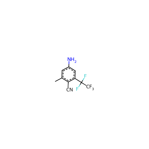 Cc1cc(N)cc(C(F)(F)C(F)(F)F)c1C#N